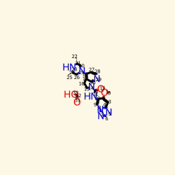 COc1cc2ncnn2cc1NC(=O)N1CCc2c(N3C[C@@H](C)N[C@@H](C)C3)ccnc21.O=CO